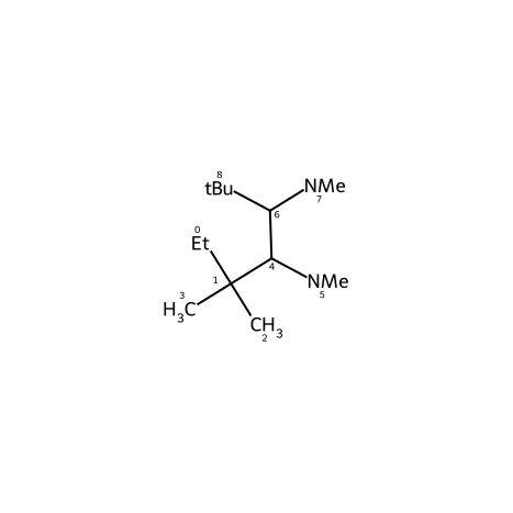 CCC(C)(C)C(NC)C(NC)C(C)(C)C